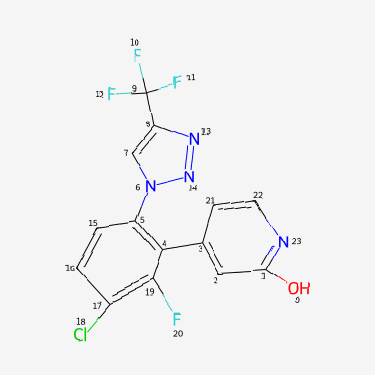 Oc1cc(-c2c(-n3cc(C(F)(F)F)nn3)ccc(Cl)c2F)ccn1